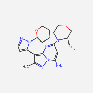 Cc1nn2c(N)cc(N3CCOC[C@H]3C)nc2c1-c1ccnn1C1CCCCO1